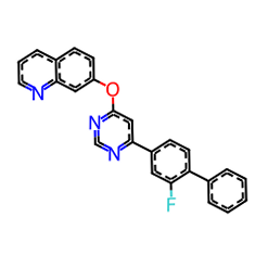 Fc1cc(-c2cc(Oc3ccc4cccnc4c3)ncn2)ccc1-c1ccccc1